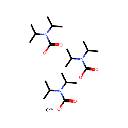 CC(C)N(C(=O)[O-])C(C)C.CC(C)N(C(=O)[O-])C(C)C.CC(C)N(C(=O)[O-])C(C)C.[Cr+3]